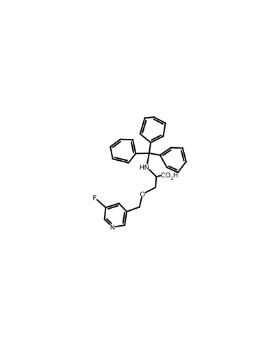 O=C(O)C(COCc1cncc(F)c1)NC(c1ccccc1)(c1ccccc1)c1ccccc1